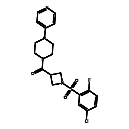 O=C(C1CN(S(=O)(=O)c2cc(Cl)ccc2F)C1)N1CCN(c2ccncc2)CC1